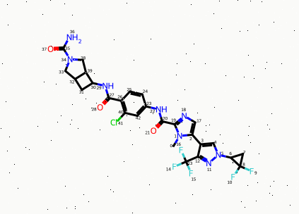 Cn1c(-c2cn(C3CC3(F)F)nc2C(F)(F)F)cnc1C(=O)Nc1ccc(C(=O)NC2CC3CN(C(N)=O)CC32)c(Cl)c1